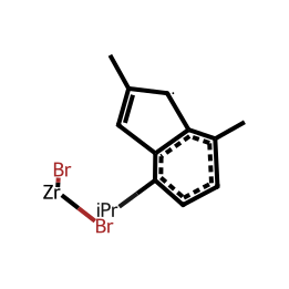 CC1=Cc2c(C(C)C)ccc(C)c2[CH]1.[Br][Zr][Br]